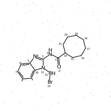 O=C(Nc1nc2ccccc2n1BBr)C1CCCCCCC1